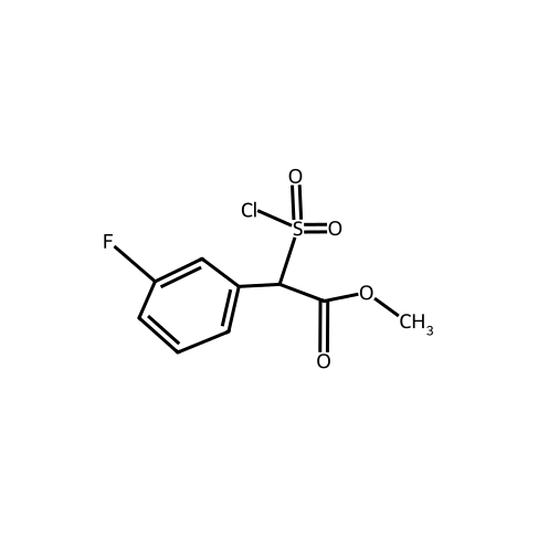 COC(=O)C(c1cccc(F)c1)S(=O)(=O)Cl